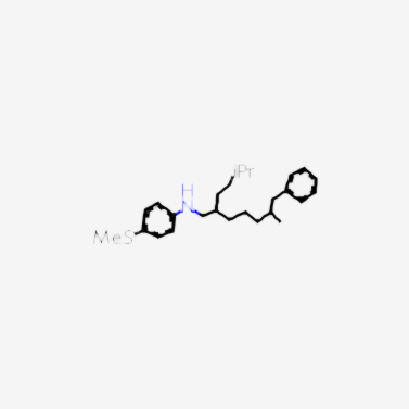 CSc1ccc(NCC(CCCC(C)Cc2ccccc2)CCC(C)C)cc1